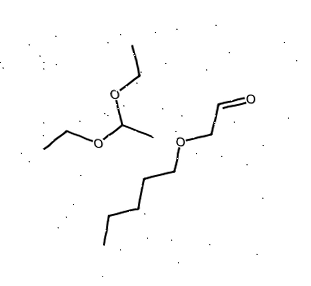 CCCCCOCC=O.CCOC(C)OCC